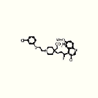 COc1ccc2ncc(Cl)c(C(F)CCC3(CC(=O)O)CCN(CCSc4cccc(Cl)c4)CC3)c2c1